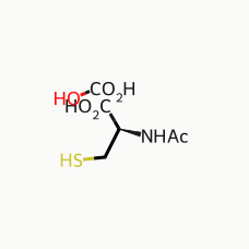 CC(=O)N[C@@H](CS)C(=O)O.O=C(O)O